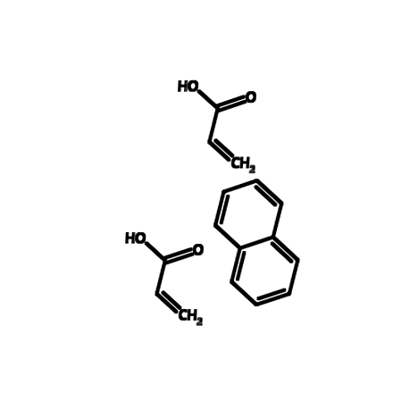 C=CC(=O)O.C=CC(=O)O.c1ccc2ccccc2c1